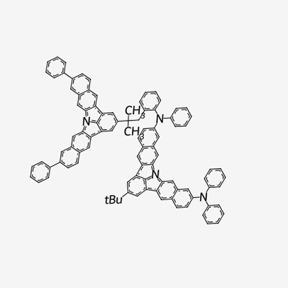 CC(C)(C)c1cc2c3cc4ccc(N(c5ccccc5)c5ccccc5)cc4cc3n3c4cc5cc(N(c6ccccc6)c6ccccc6CC(C)(C)c6cc7c8cc9ccc(-c%10ccccc%10)cc9cc8n8c9cc%10cc(-c%11ccccc%11)ccc%10cc9c(c6)c78)ccc5cc4c(c1)c23